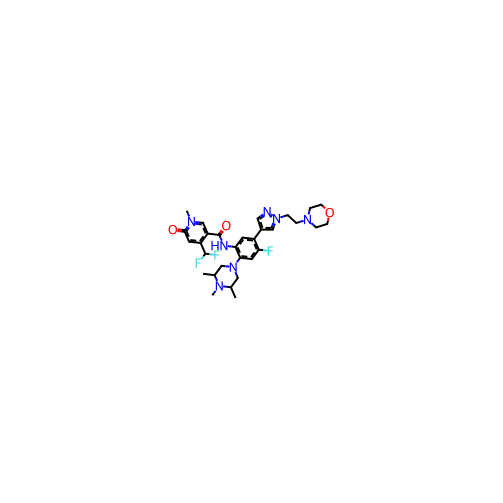 CC1CN(c2cc(F)c(-c3cnn(CCN4CCOCC4)c3)cc2NC(=O)c2cn(C)c(=O)cc2C(F)F)CC(C)N1C